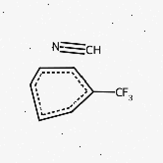 C#N.FC(F)(F)c1ccccc1